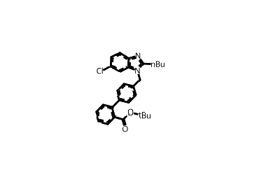 CCCCc1nc2ccc(Cl)cc2n1Cc1ccc(-c2ccccc2C(=O)OC(C)(C)C)cc1